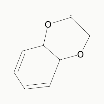 [CH]1COC2C=CC=CC2O1